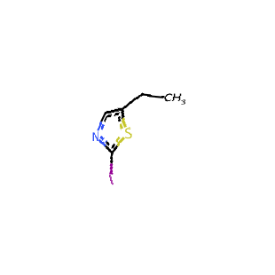 CCc1cnc(I)s1